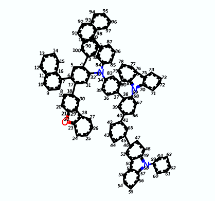 c1ccc(-c2cc(-c3cccc4ccccc34)c(-c3ccc4oc5ccccc5c4c3)cc2N(c2ccc(-c3cc(-c4cccc(-c5ccc6c(c5)c5ccccc5n6-c5ccccc5)c4)ccc3-n3c4ccccc4c4ccccc43)cc2)c2cccc(-c3cccc4ccccc34)c2)cc1